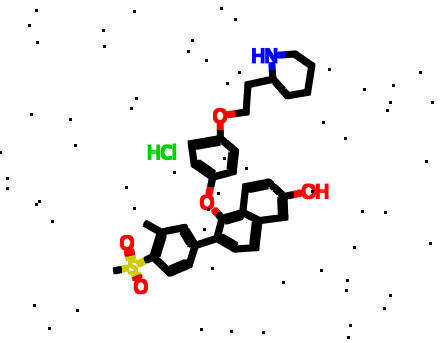 Cc1cc(-c2ccc3cc(O)ccc3c2Oc2ccc(OCCC3CCCCN3)cc2)ccc1S(C)(=O)=O.Cl